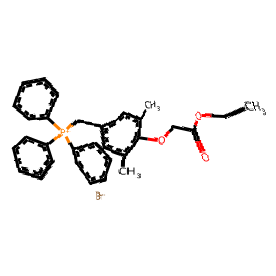 CCOC(=O)COc1c(C)cc(C[P+](c2ccccc2)(c2ccccc2)c2ccccc2)cc1C.[Br-]